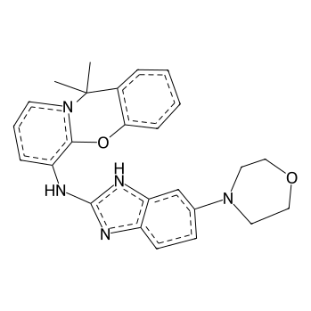 CC(C)(C)c1ccccc1Oc1ncccc1Nc1nc2ccc(N3CCOCC3)cc2[nH]1